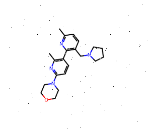 Cc1ccc(CN2CCCC2)c(-c2ccc(N3CCOCC3)nc2C)n1